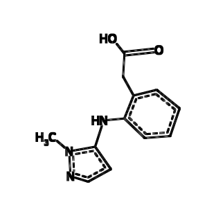 Cn1nccc1Nc1ccccc1CC(=O)O